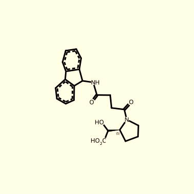 O=C(CCC(=O)N1CCC[C@H]1C(O)C(=O)O)NC1c2ccccc2-c2ccccc21